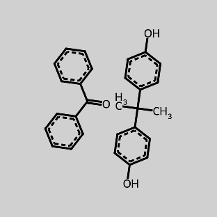 CC(C)(c1ccc(O)cc1)c1ccc(O)cc1.O=C(c1ccccc1)c1ccccc1